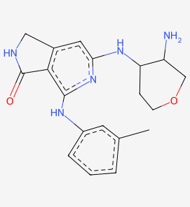 Cc1cccc(Nc2nc(NC3CCOCC3N)cc3c2C(=O)NC3)c1